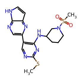 CSc1ncc(-c2cnc3[nH]ccc3n2)c(NC2CCCN(S(C)(=O)=O)C2)n1